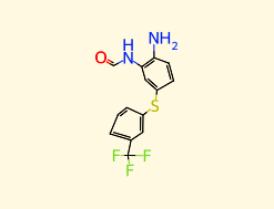 Nc1ccc(Sc2cccc(C(F)(F)F)c2)cc1NC=O